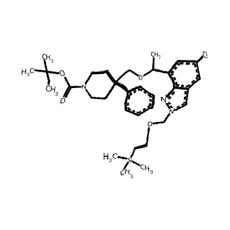 CC(OCC1(c2ccccc2)CCN(C(=O)OC(C)(C)C)CC1)c1cc(Cl)cc2cn(COCC[Si](C)(C)C)nc12